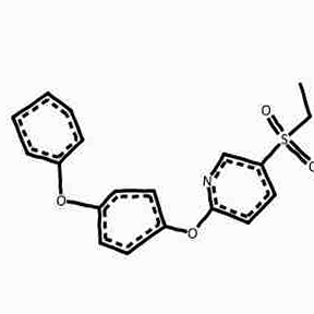 CCS(=O)(=O)c1ccc(Oc2ccc(Oc3ccccc3)cc2)nc1